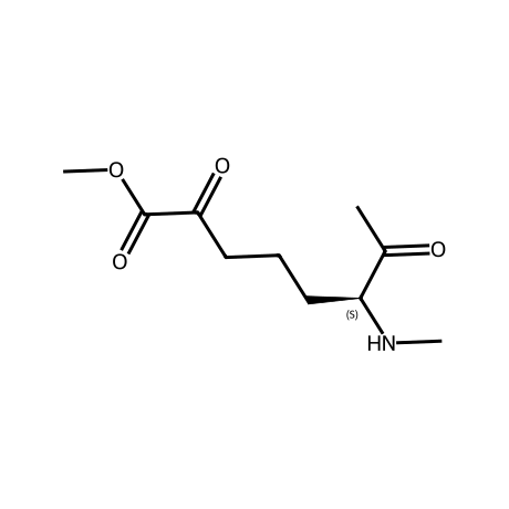 CN[C@@H](CCCC(=O)C(=O)OC)C(C)=O